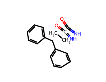 CC.N=C=O.N=C=O.c1ccc(Cc2ccccc2)cc1